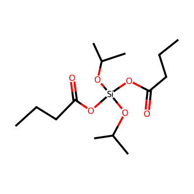 CCCC(=O)O[Si](OC(=O)CCC)(OC(C)C)OC(C)C